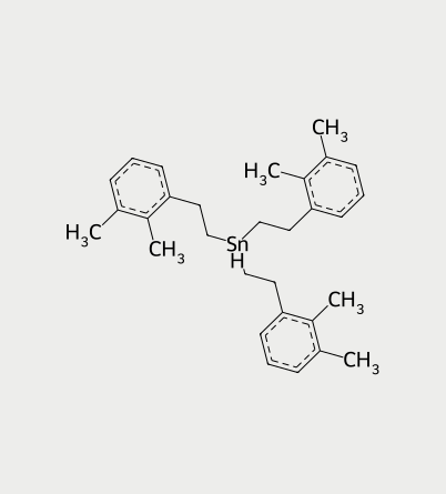 Cc1cccc(C[CH2][SnH]([CH2]Cc2cccc(C)c2C)[CH2]Cc2cccc(C)c2C)c1C